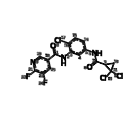 O=C(Nc1cc(NC(=O)C2CC2(Cl)Cl)ccc1Cl)c1cnc(F)c(F)c1